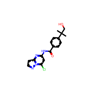 CC(C)(CO)c1ccc(C(=O)Nc2cc(Cl)n3nccc3n2)cc1